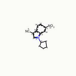 N#Cc1cn(C2CCCC2)c2cc([N+](=O)[O-])ccc12